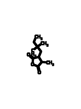 CCC(C)(C)CC1C(=O)OC(=O)C1C